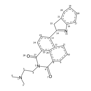 CN(C)CCN1C(=O)c2cccc3c(C4=Nc5ccccc5C4)ccc(c23)C1=O